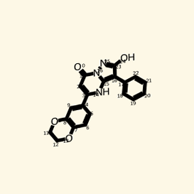 O=c1cc(-c2ccc3c(c2)OCCO3)[nH]c2c(-c3ccccc3)c(O)nn12